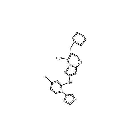 Nc1c(Cc2ccccc2)cnc2nc(Nc3cc(Cl)ccc3-n3cncn3)nn12